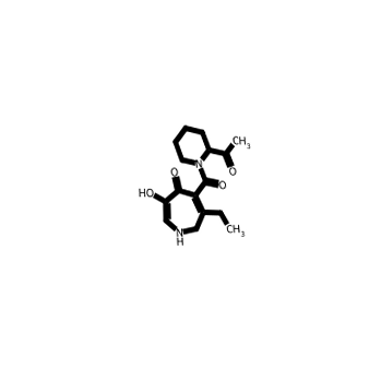 CCC1=C(C(=O)N2CCCCC2C(C)=O)C(=O)C(O)=CNC1